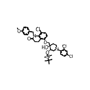 COc1ccc(CN2C(=O)CCc3c(OC[C@]4(O)CCN(c5ccc(Cl)cc5Cl)C[C@H]4O[Si](C)(C)C(C)(C)C)ccc(Cl)c32)cc1